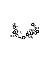 Cc1c(OC2CCC(CCCN3CCN(c4cccc5c(C6CCC(=O)NC6=O)nn(C)c45)C(C)C3)CC2)cccc1-c1ccc(N2CCc3cccc(C(=O)Nc4nc5ccccc5s4)c3C2)nc1C(=O)O